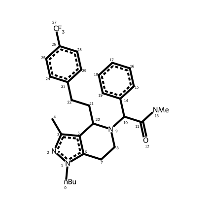 CCCCn1nc(C)c2c1CCN(C(C(=O)NC)c1ccccc1)C2CCc1ccc(C(F)(F)F)cc1